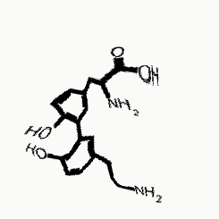 NCCc1ccc(O)c(-c2cc(CC(N)C(=O)O)ccc2O)c1